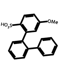 COc1ccc(S(=O)(=O)O)c(-c2ccccc2-c2ccccc2)c1